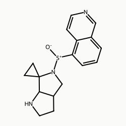 [O-][S+](c1cccc2cnccc12)N1CC2CCNC2C12CC2